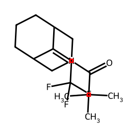 CC(C)(C)C(=O)N1CC2CCCC(C1)C2=CC(F)(F)F